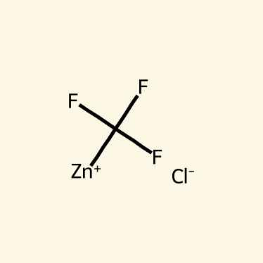 F[C](F)(F)[Zn+].[Cl-]